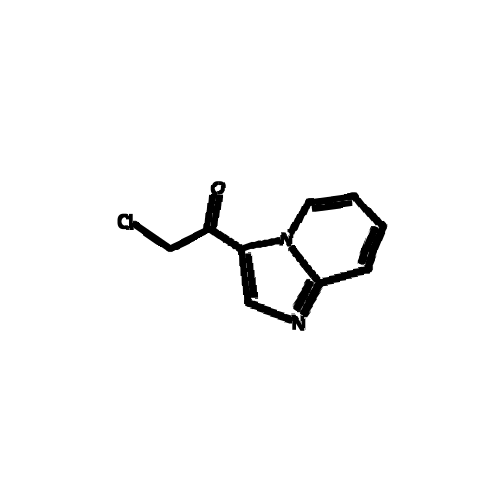 O=C(CCl)c1cnc2ccccn12